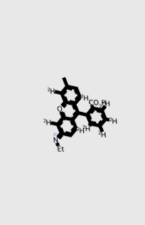 [2H]c1c/c(=N\CC)c([2H])c2oc3c([2H])c(C)cc([2H])c3c(-c3c([2H])c([2H])c([2H])c([2H])c3C(=O)O)c1-2